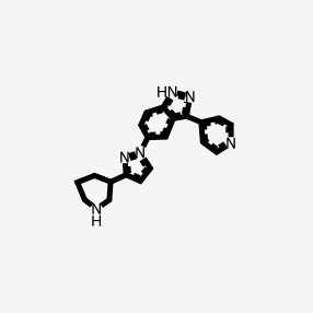 c1cc(-c2n[nH]c3ccc(-n4ccc(C5CCCNC5)n4)cc23)ccn1